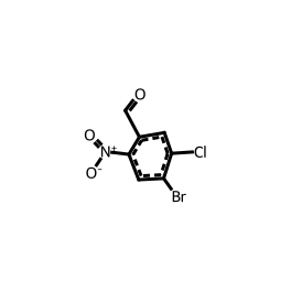 O=Cc1cc(Cl)c(Br)cc1[N+](=O)[O-]